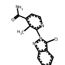 Cc1c(C(N)=O)ccnc1-n1nc2ccccc2c1Cl